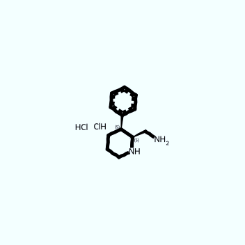 Cl.Cl.NC[C@H]1NCCC[C@H]1c1ccccc1